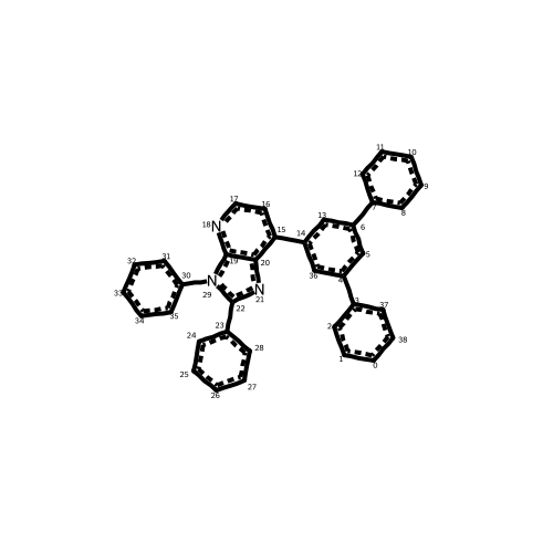 c1ccc(-c2cc(-c3ccccc3)cc(-c3ccnc4c3nc(-c3ccccc3)n4-c3ccccc3)c2)cc1